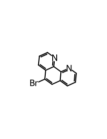 Brc1cc2cccnc2c2ncccc12